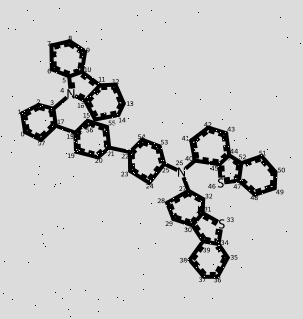 c1ccc(-n2c3ccccc3c3ccccc32)c(-c2ccc(-c3ccc(N(c4ccc5c(c4)sc4ccccc45)c4cccc5c4sc4ccccc45)cc3)cc2)c1